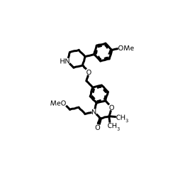 COCCCN1C(=O)C(C)(C)Oc2ccc(COC3CNCCC3c3ccc(OC)cc3)cc21